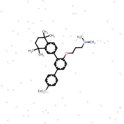 CCOC(=O)c1ccc(-c2ccc(OCCCN(C)C)c(-c3ccc4c(c3)C(C)(C)CCC4(C)C)c2)cc1